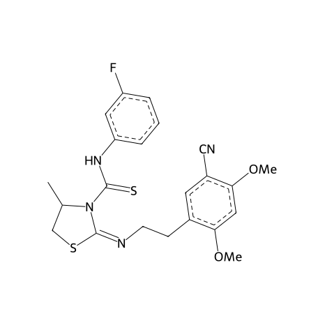 COc1cc(OC)c(CCN=C2SCC(C)N2C(=S)Nc2cccc(F)c2)cc1C#N